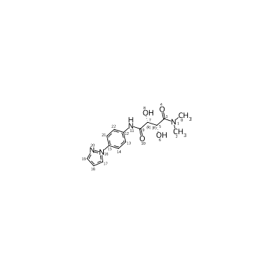 CN(C)C(=O)[C@H](O)[C@@H](O)C(=O)Nc1ccc(-n2cccn2)cc1